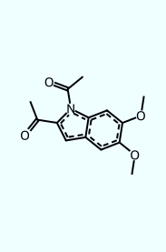 COc1cc2cc(C(C)=O)n(C(C)=O)c2cc1OC